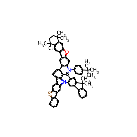 CC(C)(C)c1ccc(N2B3c4cc5c(cc4-n4c6cc7c(cc6c6ccc(c3c64)-c3cc4c(cc32)oc2cc3c(cc24)C(C)(C)CCC3(C)C)sc2ccccc27)-c2ccccc2C5(C)C)cc1